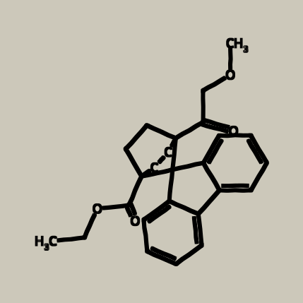 CCOC(=O)C12CCC(C(=O)COC)(CC1)C21c2ccccc2-c2ccccc21